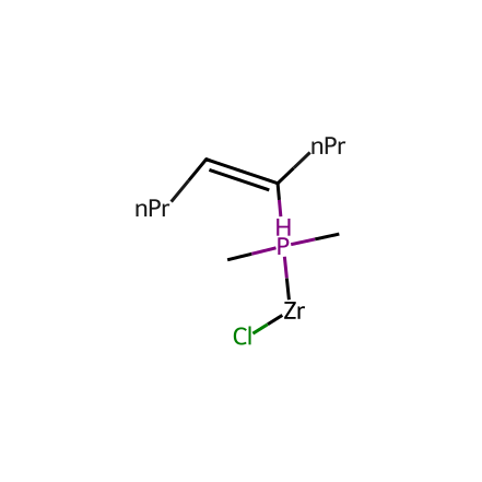 CCCC=C(CCC)[PH](C)(C)[Zr][Cl]